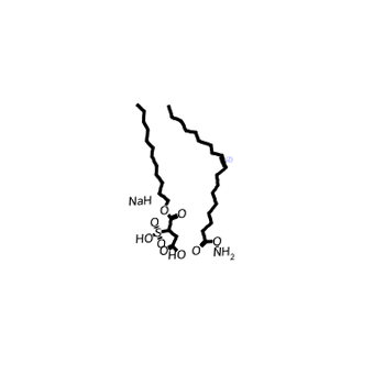 CCCCCCCC/C=C\CCCCCCCC(=O)ON.CCCCCCCCCCCCOC(=O)C(CC(=O)O)S(=O)(=O)O.[NaH]